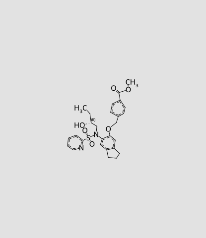 CC[C@@H](O)CN(c1cc2c(cc1OCc1ccc(C(=O)OC)cc1)CCC2)S(=O)(=O)c1ccccn1